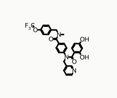 CN(Cc1ccc(OC(F)(F)F)cc1)C(=O)c1ccc(N(Cc2cccnc2)C(=O)c2ccc(O)cc2O)cc1